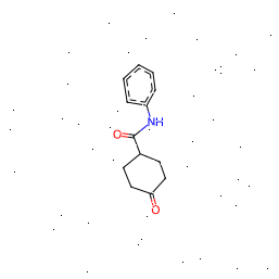 O=C1CCC(C(=O)Nc2ccccc2)CC1